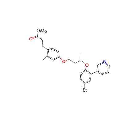 CCc1ccc(O[C@@H](C)CCOc2ccc(CCC(=O)OC)c(C)c2)c(-c2cccnc2)c1